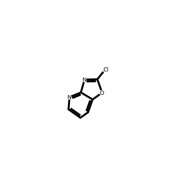 Clc1nc2ncccc2o1